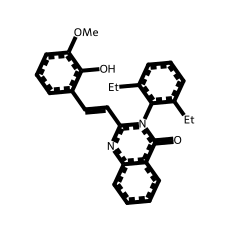 CCc1cccc(CC)c1-n1c(/C=C/c2cccc(OC)c2O)nc2ccccc2c1=O